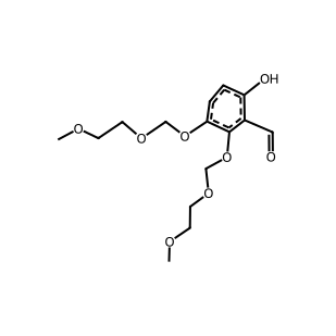 COCCOCOc1ccc(O)c(C=O)c1OCOCCOC